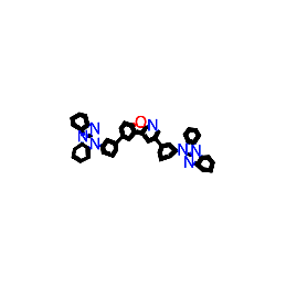 C1=CCC2C(=C1)N(c1cccc(-c3ccc4oc5ncc(-c6cccc(-n7c8ccccc8n8c9ccccc9nc78)c6)cc5c4c3)c1)c1nc3ccccc3n12